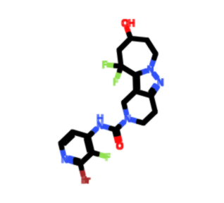 O=C(Nc1ccnc(Br)c1F)N1CCc2nn3c(c2C1)C(F)(F)CC(O)CC3